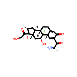 C[C@H](N)C(=O)C1=C[C@@]2(C)C(=CC1=O)CC[C@H]1[C@@H]3C[C@@H](C)[C@](O)(C(=O)CO)[C@@]3(C)C[C@H](O)[C@@]12F